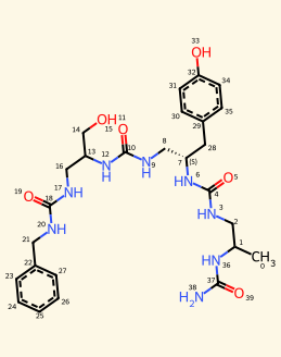 CC(CNC(=O)N[C@H](CNC(=O)NC(CO)CNC(=O)NCc1ccccc1)Cc1ccc(O)cc1)NC(N)=O